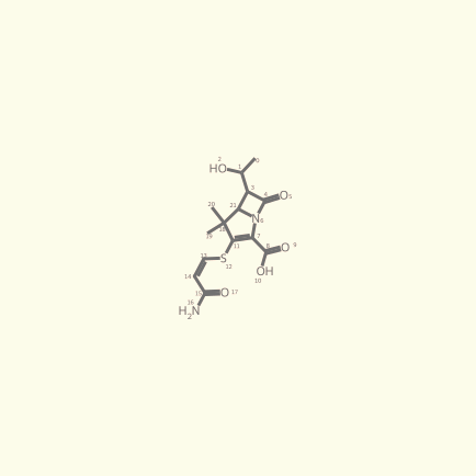 CC(O)C1C(=O)N2C(C(=O)O)=C(S/C=C\C(N)=O)C(C)(C)C12